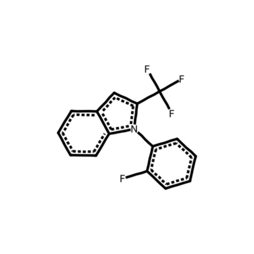 Fc1ccccc1-n1c(C(F)(F)F)cc2ccccc21